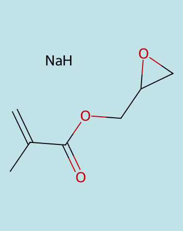 C=C(C)C(=O)OCC1CO1.[NaH]